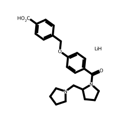 O=C(O)c1ccc(COc2ccc(C(=O)N3CCCC3CN3CCCC3)cc2)cc1.[LiH]